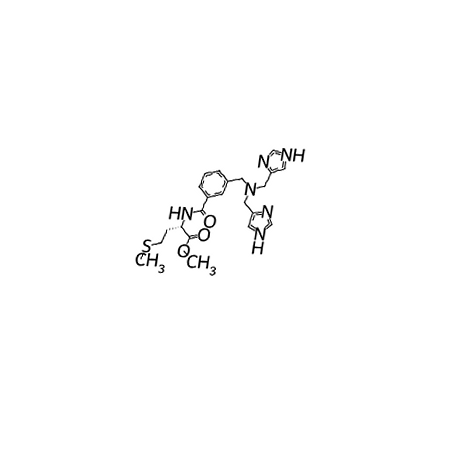 COC(=O)[C@H](CCSC)NC(=O)c1cccc(CN(Cc2c[nH]cn2)Cc2c[nH]cn2)c1